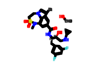 CCc1cn2c3c(cc(C(=O)N[C@@H](Cc4cc(F)cc(F)c4)[C@H](O)CNC4CC4)cc13)N(C)S(=O)(=O)CC2.O=CO